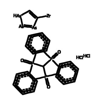 Cl.Cl.O=P(c1ccccc1)(c1ccccc1)C(P(=O)(c1ccccc1)c1ccccc1)P(=O)(c1ccccc1)c1ccccc1.[Zr][C]1=C[AsH][As]=[As]1